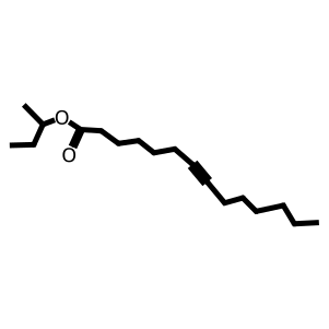 CCCCCCC#CCCCCCC(=O)OC(C)CC